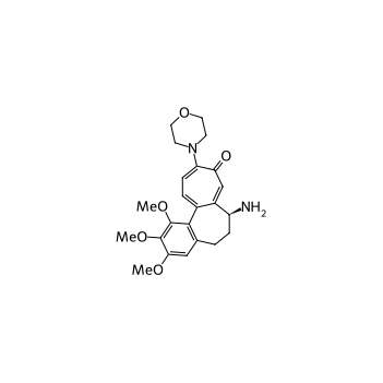 COc1cc2c(c(OC)c1OC)-c1ccc(N3CCOCC3)c(=O)cc1[C@@H](N)CC2